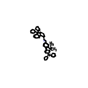 CC1(C)c2cc(/C=C/c3cccc4c3-c3ccccc3C4(C3=CC=CCC3)c3ccccc3)ccc2-c2ccc(N(c3ccccc3)c3ccccc3)cc21